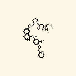 CN(C)CC(=O)N1CCCC1COc1ccc2ncnc(Nc3ccc(OCc4ccccn4)c(Cl)c3)c2c1